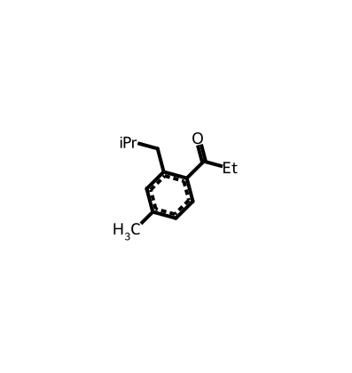 CCC(=O)c1ccc(C)cc1CC(C)C